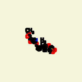 CCOC(=O)C[C@@H]1COc2cc(OCc3cccc(-c4c(C)cc(OC5CCS(=O)(=O)CC5)cc4C)c3)ncc21